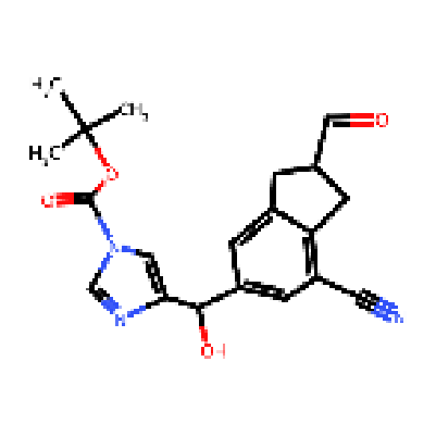 CC(C)(C)OC(=O)n1cnc(C(O)c2cc(C#N)c3c(c2)CC(C=O)C3)c1